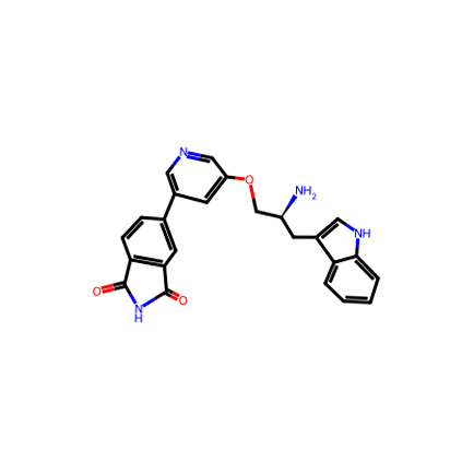 N[C@H](COc1cncc(-c2ccc3c(c2)C(=O)NC3=O)c1)Cc1c[nH]c2ccccc12